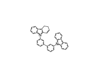 C1=Cc2c(c3ccccc3n2-c2cccc(-c3cccc(-n4c5ccccc5c5ccccc54)c3)c2)CC1